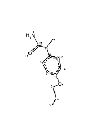 CCCOc1ccc(C(C)C(N)=O)nc1